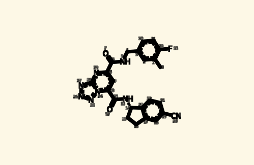 Cc1cc(CNC(=O)c2cc(C(=O)N[C@H]3CCc4cc(C#N)ccc43)n3nnnc3n2)ccc1F